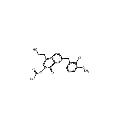 COc1cccc(Cc2ccc3c(c2)c(=O)c(OC(=O)O)cn3CCO)c1Cl